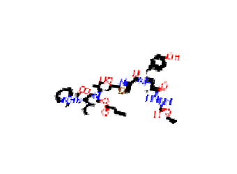 CCCC(=O)OCN(C(=O)[C@@H](NC(=O)[C@H]1CCCCN1C)C(C)CC)[C@H](C[C@@H](O)c1nc(C(=O)N[C@@H](Cc2ccc(O)cc2)C[C@H](C)C(=O)NNC(=O)OCC)cs1)C(C)C